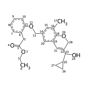 CCOC(=O)Cc1ccccc1OCc1cc(C)c2c(c1)C=C(C(O)C1CC1)CO2